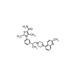 CC1=C(C(N)=O)SC(C)N1c1cccc(C(C)CN2CCN(c3cccc4nc(C)ccc34)CC2)c1